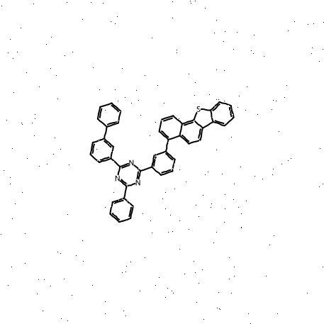 c1ccc(-c2cccc(-c3nc(-c4ccccc4)nc(-c4cccc(-c5cccc6c5ccc5c7ccccc7sc65)c4)n3)c2)cc1